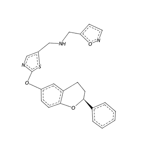 c1ccc([C@@H]2CCc3cc(Oc4ncc(CNCc5ccno5)s4)ccc3O2)cc1